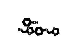 BrCC1OCCO1.Oc1ccccc1.c1ccc(OCC2OCCO2)cc1